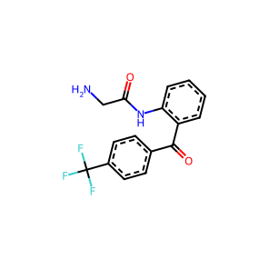 NCC(=O)Nc1ccccc1C(=O)c1ccc(C(F)(F)F)cc1